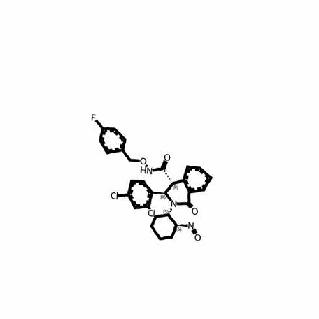 O=N[C@H]1CCCC[C@@H]1N1C(=O)c2ccccc2[C@@H](C(=O)NOCc2ccc(F)cc2)[C@@H]1c1ccc(Cl)cc1Cl